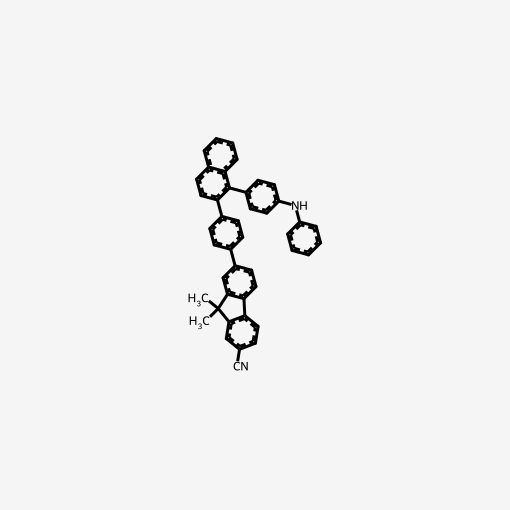 CC1(C)c2cc(C#N)ccc2-c2ccc(-c3ccc(-c4ccc5ccccc5c4-c4ccc(Nc5ccccc5)cc4)cc3)cc21